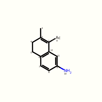 CC(=O)C1=C(C)CCc2ccc(N)cc21